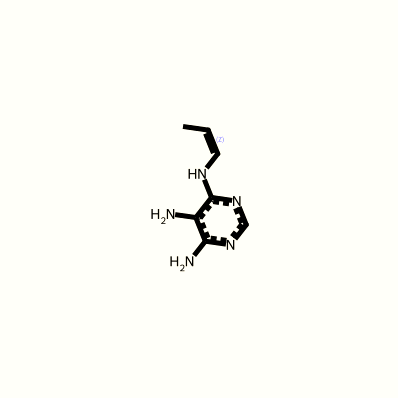 C/C=C\Nc1ncnc(N)c1N